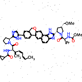 C=C(/C=C\C=C/C)[C@@H](NC(=O)C1CC1)C(=O)N1CCC[C@H]1c1ncc(-c2ccc3c(c2)COc2cc4c(ccc5nc([C@@H]6C[C@H](COC)CN6C(=O)[C@@H](NC(=O)OC)C(C)C)[nH]c54)cc2-3)[nH]1